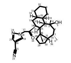 C[C@H]1C[C@@](C)(O)[C@H]2[C@H]3CCCC[C@H]3C[C@H](C(=O)Cn3cc(C#N)cn3)[C@H]2[C@@]2(C)CCC[C@@H]12